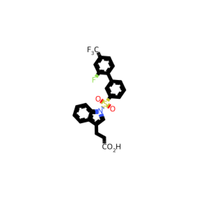 O=C(O)CCc1cn(S(=O)(=O)c2cccc(-c3ccc(C(F)(F)F)cc3F)c2)c2ccccc12